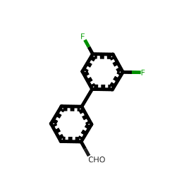 O=Cc1cccc(-c2cc(F)cc(F)c2)c1